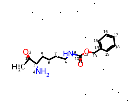 CC(=O)[C@@H](N)CCCCNC(=O)OCc1ccccc1